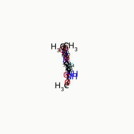 CCOCCNC(=O)Nc1ccc(C2CCC(=NOC3CCN(C(=O)OC(C)C)CC3)CC2)c(F)c1